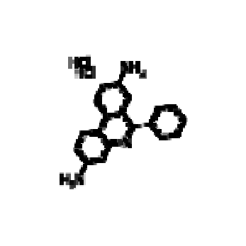 Cl.Cl.Nc1ccc2c(c1)nc(-c1ccccc1)c1cc(N)ccc12